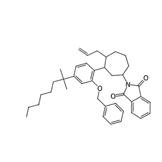 C=CCC1CCCC(N2C(=O)c3ccccc3C2=O)CC1c1ccc(C(C)(C)CCCCCC)cc1OCc1ccccc1